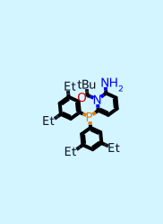 CCc1cc(CC)cc(P(C2=CC=CC(N)N2C(=O)C(C)(C)C)c2cc(CC)cc(CC)c2)c1